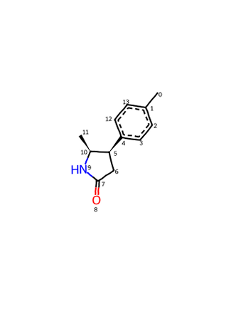 Cc1ccc([C@H]2CC(=O)N[C@H]2C)cc1